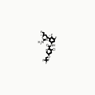 C[C@]1(CF)C[C@@](C)(c2cc(NC(=O)c3ncc(OCC(F)(F)F)cc3Cl)cc(F)c2F)N=C(N)S1